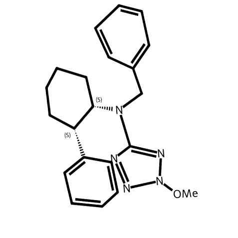 COn1nnc(N(Cc2ccccc2)[C@H]2CCCC[C@H]2c2ccccc2)n1